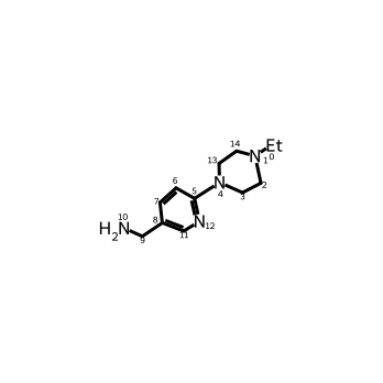 CCN1CCN(c2ccc(CN)cn2)CC1